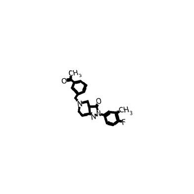 CC(=O)c1cccc(CN2CCC3=NN(c4ccc(F)c(C)c4)C(=O)C3C2)c1